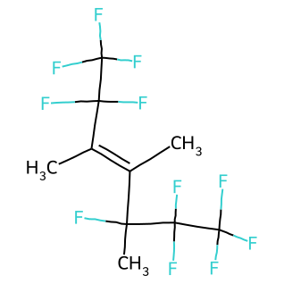 CC(=C(C)C(F)(F)C(F)(F)F)C(C)(F)C(F)(F)C(F)(F)F